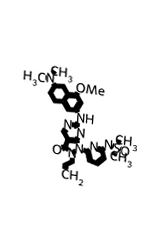 C=CCn1c(=O)c2cnc(Nc3cc4c(c(OC)c3)CC(N(C)C)CC4)nc2n1-c1cccc(N=S(C)(C)=O)n1